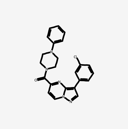 O=C(c1ccn2ncc(-c3cccc(Cl)c3)c2n1)N1CCN(c2ccccc2)CC1